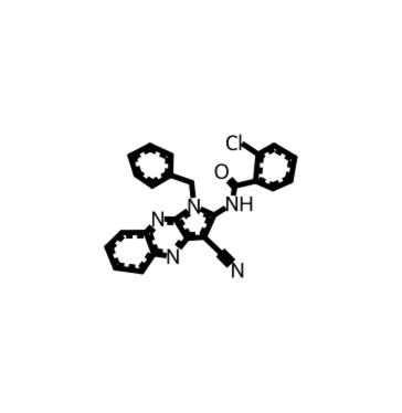 N#Cc1c(NC(=O)c2ccccc2Cl)n(Cc2ccccc2)c2nc3ccccc3nc12